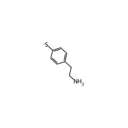 NCCc1ccc([S])cc1